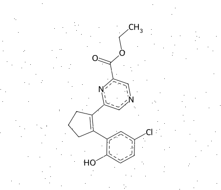 CCOC(=O)c1cncc(C2=C(c3cc(Cl)ccc3O)CCC2)n1